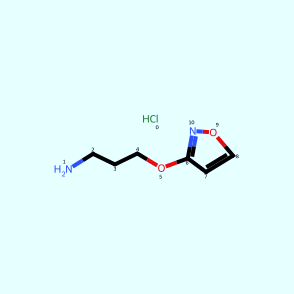 Cl.NCCCOc1ccon1